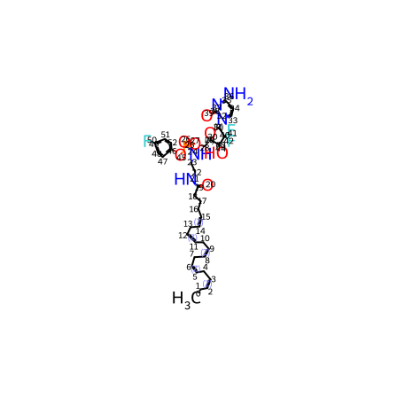 CC/C=C\C/C=C\C/C=C\C/C=C\C/C=C\CCCC(=O)NCCNP(=O)(OC[C@H]1O[C@@H](n2ccc(N)nc2=O)C(F)(F)[C@@H]1O)Oc1ccc(F)cc1